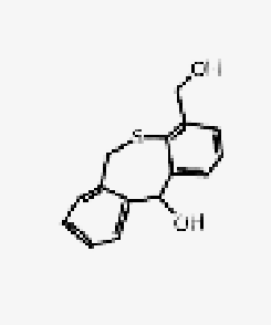 OCc1cccc2c1SCc1ccccc1C2O